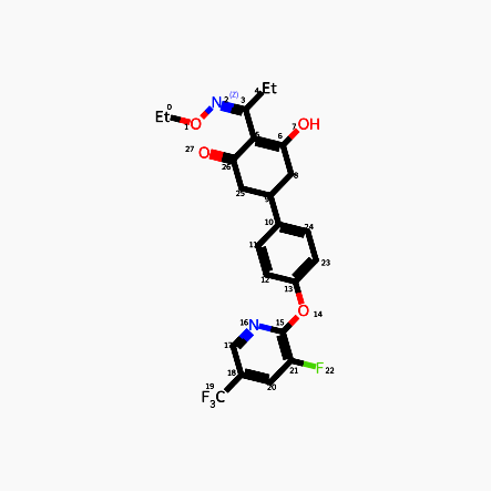 CCO/N=C(/CC)C1=C(O)CC(c2ccc(Oc3ncc(C(F)(F)F)cc3F)cc2)CC1=O